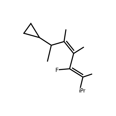 CC(/C(F)=C(\C)C(C)C)=C(\C)C(C)C1CC1